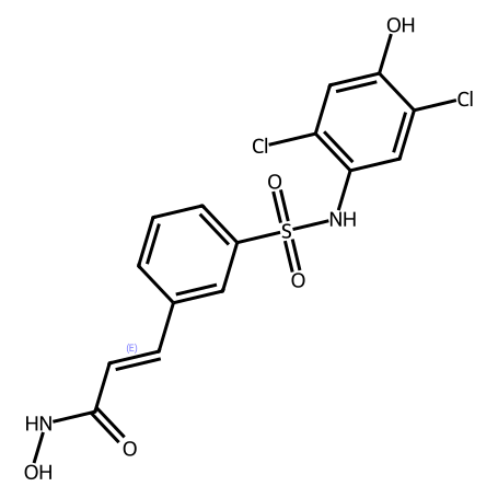 O=C(/C=C/c1cccc(S(=O)(=O)Nc2cc(Cl)c(O)cc2Cl)c1)NO